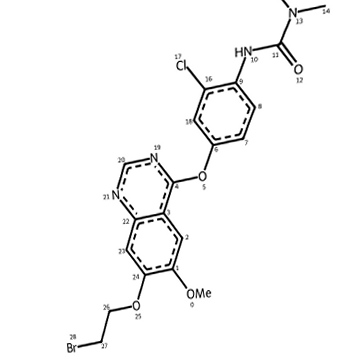 COc1cc2c(Oc3ccc(NC(=O)N(C)C)c(Cl)c3)ncnc2cc1OCCBr